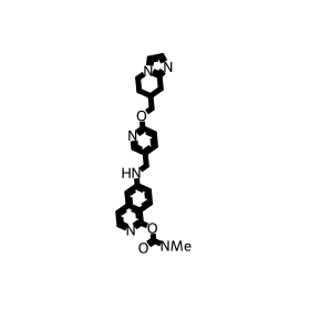 CNC(=O)Oc1nccc2cc(NCc3ccc(OCC4CCn5ccnc5C4)nc3)ccc12